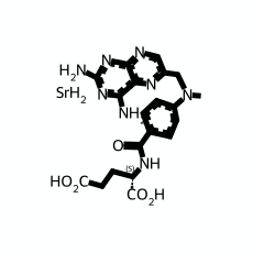 CN(Cc1cnc2nc(N)nc(N)c2n1)c1ccc(C(=O)N[C@@H](CCC(=O)O)C(=O)O)cc1.[SrH2]